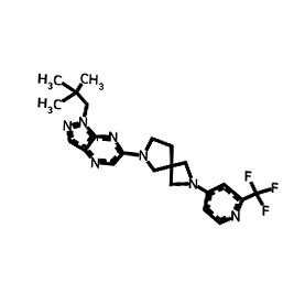 CC(C)(C)Cn1ncc2ncc(N3CCC4(CN(c5ccnc(C(F)(F)F)c5)C4)C3)nc21